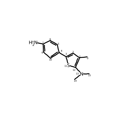 Cc1cc(-c2ccc(N)cc2)sc1N(C)C